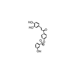 O=C(/C=C/c1ccc(O)c(O)c1)c1ccc(OS(=O)(=O)c2cccc(O)c2)cc1